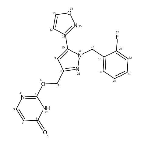 O=c1ccnc(OCc2cc(-c3ccon3)n(Cc3ccccc3F)n2)[nH]1